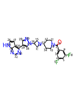 O=C(c1cc(F)cc(F)c1)N1CCC(N2C[C](n3cc(-c4ncnc5[nH]ccc45)cn3)C2)CC1